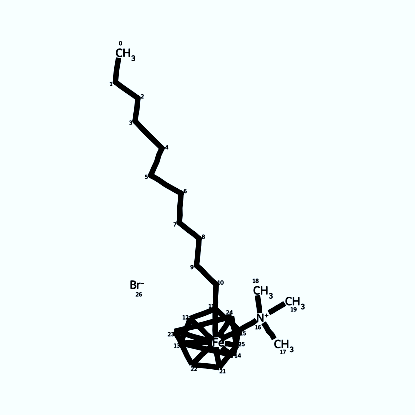 CCCCCCCCCCC[C]12[CH]3[CH]4[CH]5[C]1([N+](C)(C)C)[Fe]43521678[CH]2[CH]1[CH]6[CH]7[CH]28.[Br-]